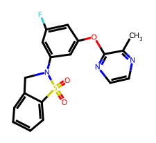 Cc1nccnc1Oc1cc(F)cc(N2Cc3ccccc3S2(=O)=O)c1